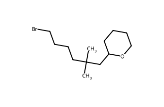 CC(C)(CCCCBr)CC1CCCCO1